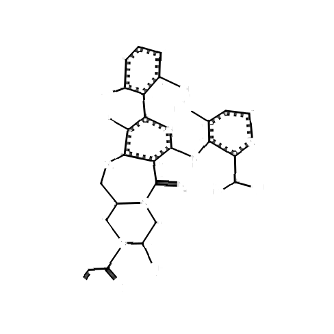 C=CC(=O)N1CC2CNc3c(Cl)c(-c4c(O)cccc4F)nc(Nc4c(C)ccnc4C(C)O)c3C(=N)N2CC1C